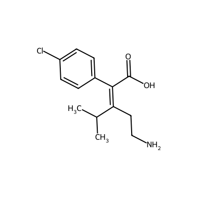 CC(C)C(CCN)=C(C(=O)O)c1ccc(Cl)cc1